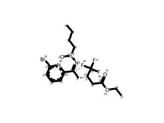 CCCC[S+]([O-])/N=C(/C[C@@H](CC(=O)OCC)C(F)(F)F)c1cccc(Br)n1